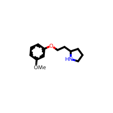 COc1cccc(OCCC2CCCN2)c1